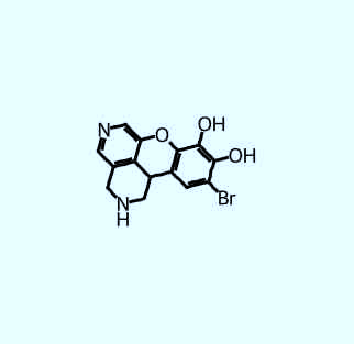 Oc1c(Br)cc2c(c1O)Oc1cncc3c1C2CNC3